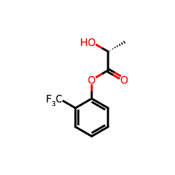 C[C@@H](O)C(=O)Oc1ccccc1C(F)(F)F